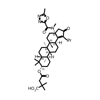 Cc1nnc(C(=O)N(C)[C@@]23CC[C@]4(C)[C@H](CC[C@@H]5[C@@]6(C)CC[C@H](OC(=O)CC(C)(C)C(=O)O)C(C)(C)[C@@H]6CC[C@]54C)C2=C(C(C)C)C(=O)C3)o1